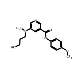 CN(CCCO)c1cncc(C(=O)Nc2ccc(OC(F)(F)F)cc2)c1